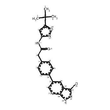 CC(C)(C)c1cc(NC(=O)Cc2ccc(-c3cnc4[nH]nc(Cl)c4c3)cc2)no1